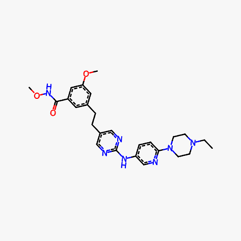 CCN1CCN(c2ccc(Nc3ncc(CCc4cc(OC)cc(C(=O)NOC)c4)cn3)cn2)CC1